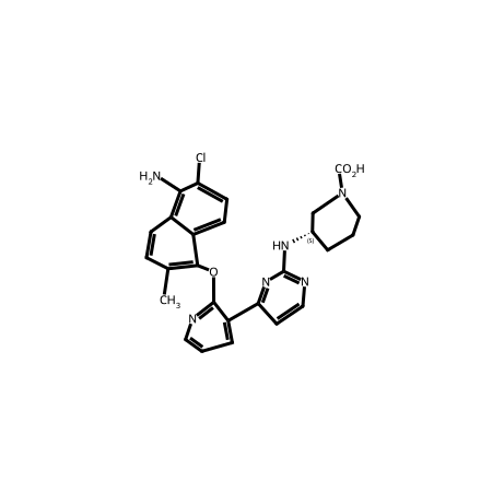 Cc1ccc2c(N)c(Cl)ccc2c1Oc1ncccc1-c1ccnc(N[C@H]2CCCN(C(=O)O)C2)n1